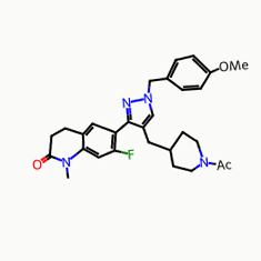 COc1ccc(Cn2cc(CC3CCN(C(C)=O)CC3)c(-c3cc4c(cc3F)N(C)C(=O)CC4)n2)cc1